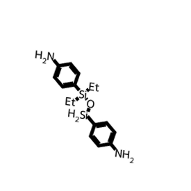 CC[Si](CC)(O[SiH2]c1ccc(N)cc1)c1ccc(N)cc1